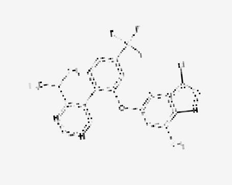 Cc1cc(Oc2cc(C(F)(F)F)ccc2-c2cncnc2C(C)C)nn2c(Cl)nnc12